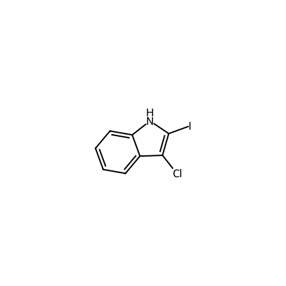 Clc1c(I)[nH]c2ccccc12